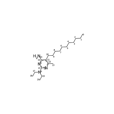 CCCCCCCCCCCc1c(C)nc(N(CC)CC)nc1N